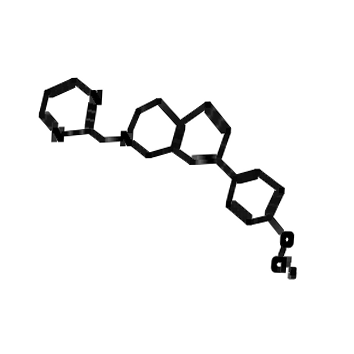 FC(F)(F)Oc1ccc(-c2ccc3c(c2)CN(Cc2ncccn2)CC3)cc1